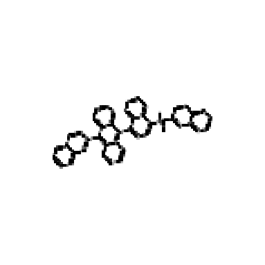 C[Si](C)(c1ccc2ccccc2c1)c1ccc(-c2c3ccccc3c(-c3ccc4ccccc4c3)c3ccccc23)c2ccccc12